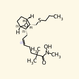 CCCSC[C@@H]1[C@H](C/C=C\CCC(C)(C)C(=O)N(C)O)[C@@H]2CC[C@H]1O2